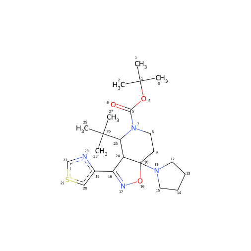 CC(C)(C)OC(=O)N1CCC2(N3CCCC3)ON=C(c3cscn3)C2C1C(C)(C)C